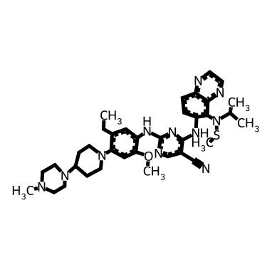 CCc1cc(Nc2ncc(C#N)c(Nc3ccc4nccnc4c3N(SC)C(C)C)n2)c(OC)cc1N1CCC(N2CCN(C)CC2)CC1